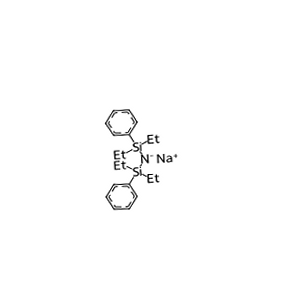 CC[Si](CC)([N-][Si](CC)(CC)c1ccccc1)c1ccccc1.[Na+]